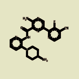 N#Cc1ccnc(-c2cnc(N)c(C(=O)Nc3ncccc3N3CCC(N)CC3)n2)c1F